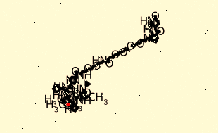 CCC[C@H](NC(O)[C@@H]1C2CCC[C@H]2CN1C(=O)[C@@H](NC(=O)[C@@H](NC(=O)c1cnc(C(=O)NCCOCCOCCNC(=O)CCOCCOCCOCCOCCNc2cccc3c2CN(C2CCC(=O)NC2=O)C3=O)cn1)C1CCCCC1)C(C)(C)C)C(=O)C(=O)NC1CC1